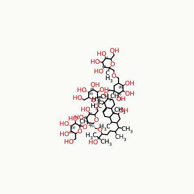 CC(CCC(OC[C@H]1OC(COCC2(C)OC(CO)[C@H](O)[C@H](O)C2O)[C@H](O)[C@H](O)C1O[C@@]1(C)OC(CO)[C@H](O)[C@H](O)C1O)C(C)(C)O)C(C)C1CC(O)C2(C)C3CCC(OCC4(C)CC(COCC5(C)OC(CO)[C@@H](O)C(O)[C@@H]5O)[C@@H](O)C(O)[C@@H]4O)C(C)(C)C3=CCC2C1C